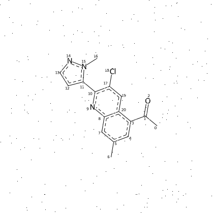 CC(=O)c1cc(C)cc2nc(-c3ccnn3C)c(Cl)cc12